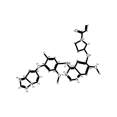 C=CC(=O)N1CCC(Oc2cc3c(Nc4cc(C)c(Oc5ccn6ncnc6c5)cc4OC)ncnc3cc2OC)C1